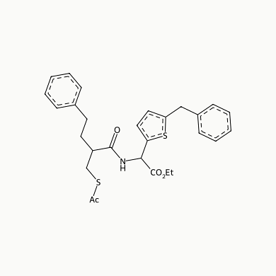 CCOC(=O)C(NC(=O)C(CCc1ccccc1)CSC(C)=O)c1ccc(Cc2ccccc2)s1